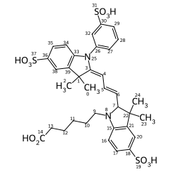 CC1(C)/C(=C\C=C\C2N(CCCCCC(=O)O)c3ccc(S(=O)(=O)O)cc3C2(C)C)N(c2cccc(S(=O)(=O)O)c2)c2ccc(S(=O)(=O)O)cc21